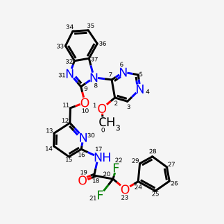 COc1cncnc1-n1c(OCc2cccc(NC(=O)C(F)(F)Oc3ccccc3)n2)nc2ccccc21